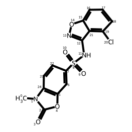 Cn1c(=O)oc2cc(S(=O)(=O)Nc3noc4cccc(Cl)c34)ccc21